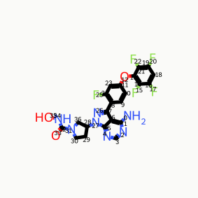 Nc1ncnc2c1c(-c1ccc(Oc3c(F)c(F)cc(F)c3F)cc1F)nn2C1CCN(C(=O)NO)C1